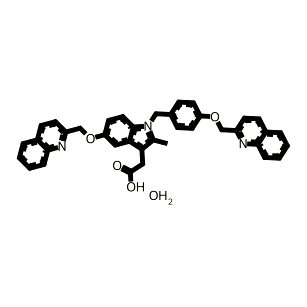 Cc1c(CC(=O)O)c2cc(OCc3ccc4ccccc4n3)ccc2n1Cc1ccc(OCc2ccc3ccccc3n2)cc1.O